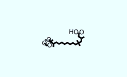 CC(CC(=O)O)CC(C)(C)CCCCCCCCC(C)C1(C)OCOCO1